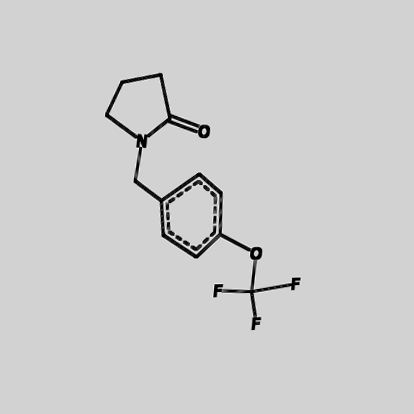 O=C1CCCN1Cc1ccc(OC(F)(F)F)cc1